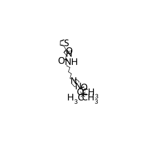 CC(C)(C)OC(=O)N1CCN(CCCCCNC(=O)c2cc(-c3cccs3)on2)CC1